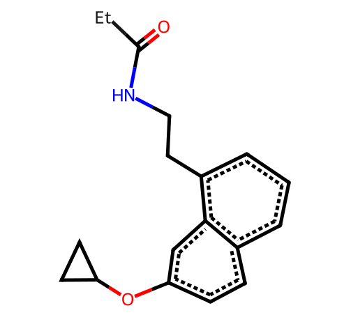 CCC(=O)NCCc1cccc2ccc(OC3CC3)cc12